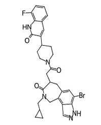 O=C(CC1Cc2cc(Br)c3[nH]ncc3c2CN(CC2CC2)C1=O)N1CCC(c2cc3cccc(F)c3[nH]c2=O)CC1